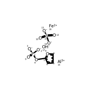 O=P([O-])([O-])Oc1ccco1.O=S(=O)([O-])[O-].[Al+3].[Fe+2].[OH-]